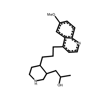 COc1ccc2nccc(CCCC3CCNCC3CC(C)O)c2c1